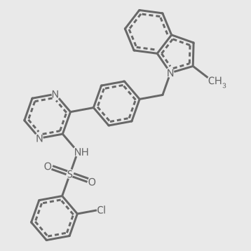 Cc1cc2ccccc2n1Cc1ccc(-c2nccnc2NS(=O)(=O)c2ccccc2Cl)cc1